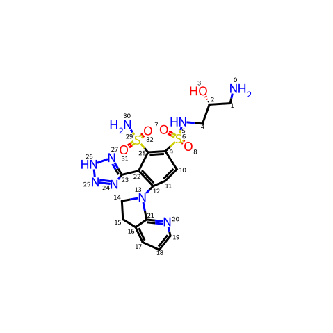 NC[C@@H](O)CNS(=O)(=O)c1ccc(N2CCc3cccnc32)c(-c2nn[nH]n2)c1S(N)(=O)=O